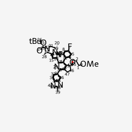 COCCOc1cc(F)cc(F)c1-c1c(-c2cc3n(n2)[C@@H](C)CN(C(=O)OC(C)(C)C)[C@@H]3C)nc(-c2ccc3c(c2)nc(C)n3C)c2c1[C@H](F)CC2